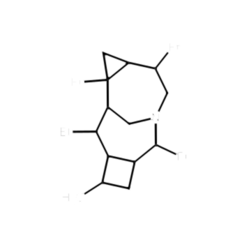 CCC1CN2CC(C(CC)C3C(C)CC3C2CC)C2(CC)CC12